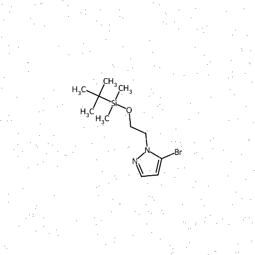 CC(C)(C)[Si](C)(C)OCCn1nccc1Br